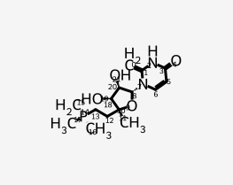 C=C1NC(=O)C=CN1[C@@H]1O[C@](C)(CCP(=C)(C)C)[C@@H](O)[C@H]1O